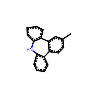 Cc1ccc2c(c1)-c1ccccc1Nc1ccccc1-2